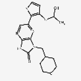 CC(O)Oc1ccsc1-c1cnc2[nH]c(=O)n(CC3CCOCC3)c2n1